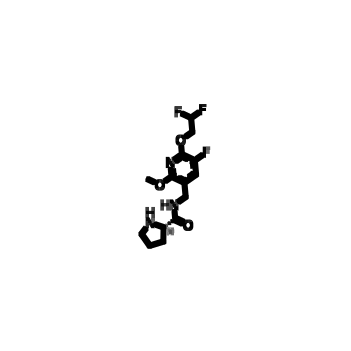 COc1nc(OCC(F)F)c(F)cc1CNC(=O)[C@@H]1CCCN1